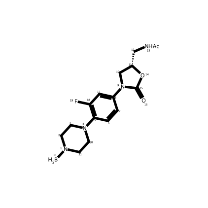 BN1CCN(c2ccc(N3C[C@H](CNC(C)=O)OC3=O)cc2F)CC1